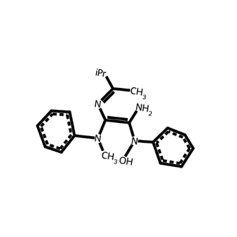 C/C(=N\C(=C(/N)N(O)c1ccccc1)N(C)c1ccccc1)C(C)C